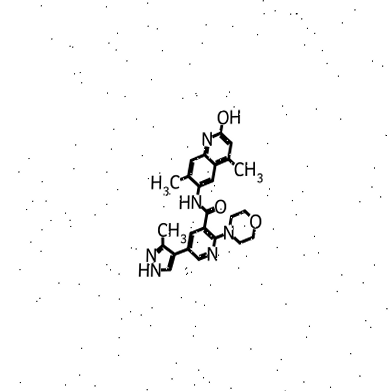 Cc1cc2nc(O)cc(C)c2cc1NC(=O)c1cc(-c2c[nH]nc2C)cnc1N1CCOCC1